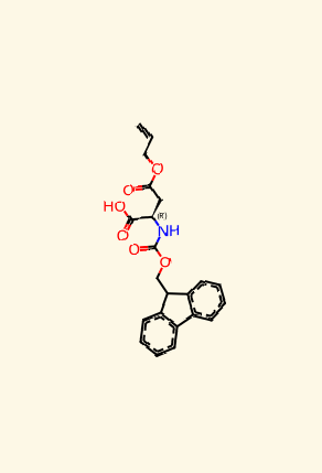 C=CCOC(=O)C[C@@H](NC(=O)OCC1c2ccccc2-c2ccccc21)C(=O)O